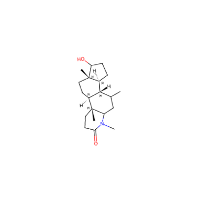 CC1CC2N(C)C(=O)CC[C@]2(C)[C@H]2CC[C@]3(C)C(O)CC[C@H]3[C@H]12